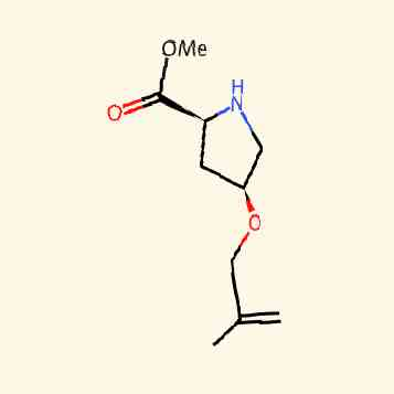 C=C(C)CO[C@@H]1CN[C@H](C(=O)OC)C1